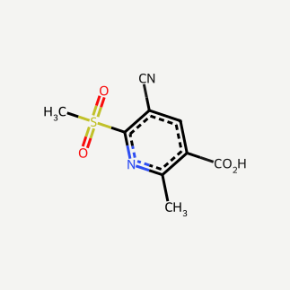 Cc1nc(S(C)(=O)=O)c(C#N)cc1C(=O)O